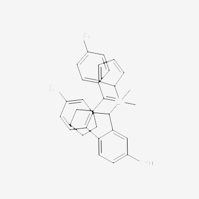 CC(C)c1ccc([C](C2CCCC2)=[Zr]([CH3])([CH3])([CH]2C=CC=C2)[CH]2c3cc(C(C)(C)C)ccc3-c3ccc(C(C)(C)C)cc32)cc1